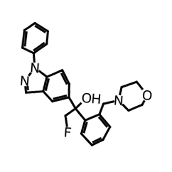 OC(CF)(c1ccc2c(cnn2-c2ccccc2)c1)c1ccccc1CN1CCOCC1